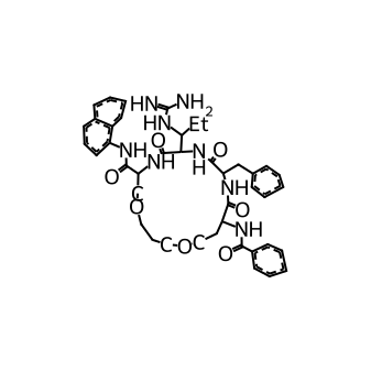 CCC(NC(=N)N)C1NC(=O)C(Cc2ccccc2)NC(=O)C(NC(=O)c2ccccc2)CCOCCCOCC(C(=O)Nc2cccc3ccccc23)NC1=O